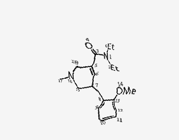 CCN(CC)C(=O)C1=CC(c2ccccc2OC)CN(C)C1